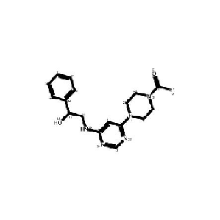 CCC(=O)N1CCN(c2cc(NCC(O)c3ccccc3)ncn2)CC1